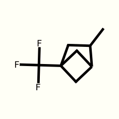 CC1CC2(C(F)(F)F)CC1C2